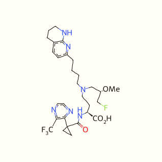 CO[C@H](CF)CN(CCCCc1ccc2c(n1)NCCC2)CC[C@H](NC(=O)C1(c2nccnc2C(F)(F)F)CC1)C(=O)O